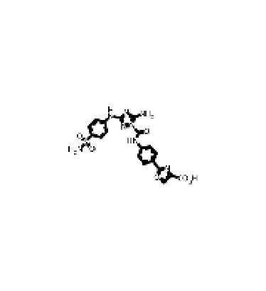 Nc1nc(Nc2ccc(S(N)(=O)=O)cc2)nn1C(=O)Nc1ccc(-c2nc(C(=O)O)co2)cc1